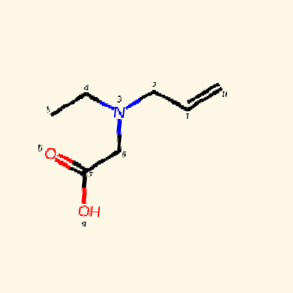 C=CCN(CC)CC(=O)O